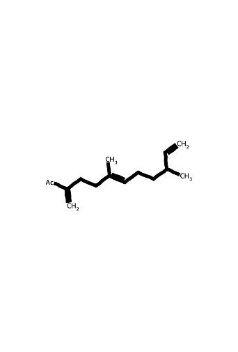 C=CC(C)CC/C=C(\C)CCC(=C)C(C)=O